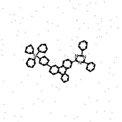 c1ccc(-c2nc(-c3ccccc3)nc(-c3ccc4c5cc(-c6ccc([Si](c7ccccc7)(c7ccccc7)c7ccccc7)cc6)ccc5c5ccccc5c4c3)n2)cc1